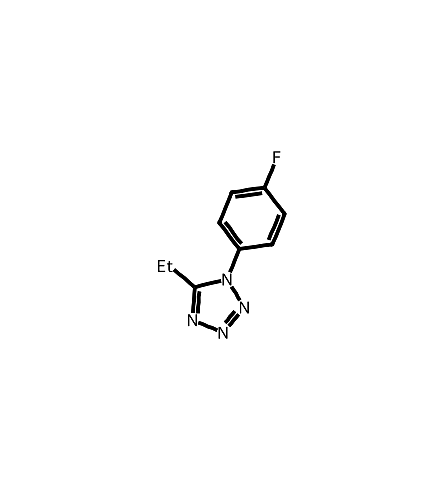 [CH2]Cc1nnnn1-c1ccc(F)cc1